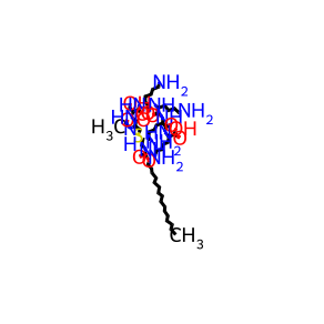 CCCCCCCCCCCCCCCCOC(=O)NCCSCC(NC(C)=O)C(=O)NC(CO)C(=O)NC(CCCCN)C(=O)NC(CCCCN)C(=O)NC(CCCCN)C(=O)NC(CCCCN)C(=O)O